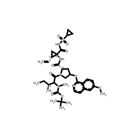 C=C[C@@H]1C[C@]1(NC(=O)[C@@H]1CC(Oc2nccc3cc(OC)ccc23)CN1C(=O)C([C@@H](C)CC)N(C)C(=O)OC(C)(C)C)C(=O)NS(=O)(=O)C1CC1